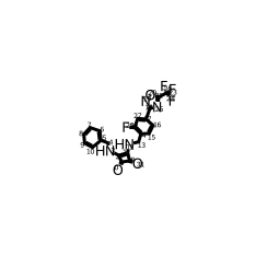 O=c1c(NCc2ccccc2)c(NCc2ccc(-c3noc(C(F)(F)F)n3)cc2F)c1=O